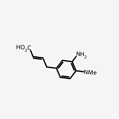 CNc1ccc(C/C=C/C(=O)O)cc1N